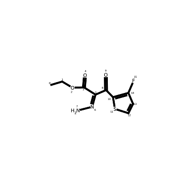 CCOC(=O)C(=NN)C(=O)c1sccc1F